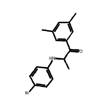 Cc1cc(C)cc(C(=O)C(C)Nc2ccc(Br)cc2)c1